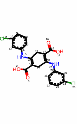 O=C(O)C1=C(Nc2cccc(Cl)c2)CC(C(=O)O)=C(Nc2cccc(Cl)c2)C1